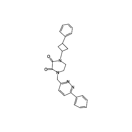 O=C1C(=O)N(C2CC(c3ccccc3)C2)CCN1Cc1ccc(-c2ccccc2)nn1